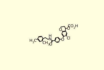 Cc1ccc(CCNC(=O)c2ccc(Oc3cc4c(cc3Cl)C(OC(=O)O)CCO4)cc2)c(C)c1